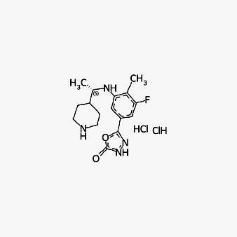 Cc1c(F)cc(-c2n[nH]c(=O)o2)cc1N[C@@H](C)C1CCNCC1.Cl.Cl